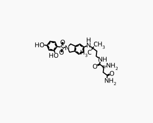 CC(C)(CCNC(=O)[C@H](N)CC(N)=O)Nc1ccc2c(c1)CN(S(=O)(=O)c1ccc(O)cc1O)C2